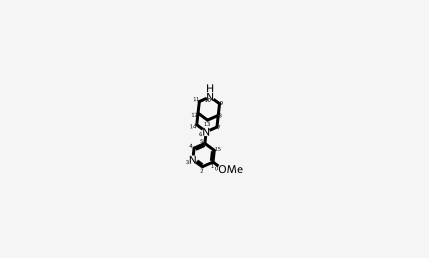 COc1cncc(N2CC3CNCC(C3)C2)c1